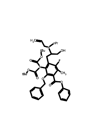 C=CCN(CCC)C(CO)Cc1c(F)c(C)c(C(=O)Oc2ccccc2)c(OCc2ccccc2)c1N(C(=O)OC(C)(C)C)C(=O)OC(C)(C)C